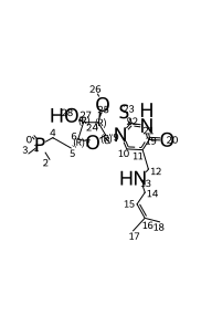 C=P(C)(C)CC[C@H]1O[C@@H](n2cc(CNCC=C(C)C)c(=O)[nH]c2=S)[C@H](OC)[C@@H]1O